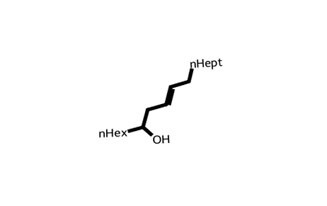 CCCCCCCCC=CCC(O)CCCCCC